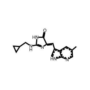 Cc1cnc2[nH]cc(/C=C3\N=C(NCC4CC4)NC3=O)c2c1